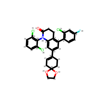 O=C1CCc2c(-c3ccc(F)cc3Cl)cc(C3=CCC4(CC3)OCCO4)cc2N1c1c(Cl)cccc1Cl